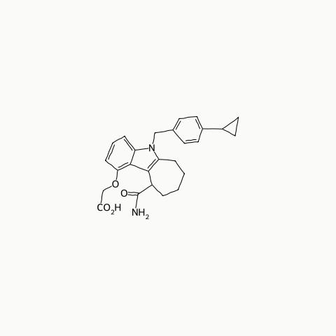 NC(=O)C1CCCCc2c1c1c(OCC(=O)O)cccc1n2Cc1ccc(C2CC2)cc1